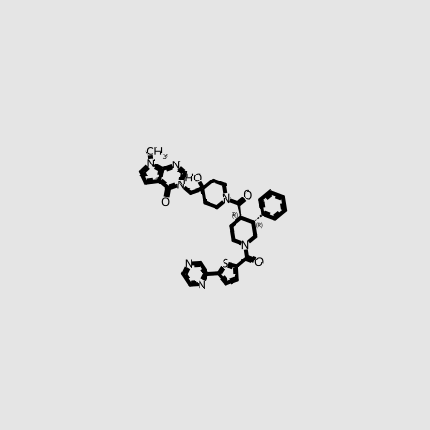 Cn1ccc2c(=O)n(CC3(O)CCN(C(=O)[C@@H]4CCN(C(=O)c5ccc(-c6cnccn6)s5)C[C@H]4c4ccccc4)CC3)cnc21